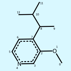 COc1cnccc1C(C)C(C)C